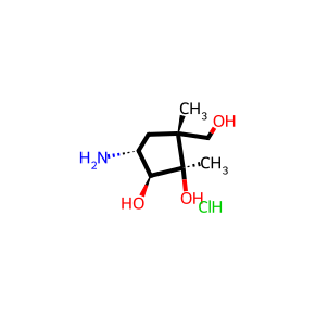 C[C@]1(CO)C[C@@H](N)[C@H](O)[C@]1(C)O.Cl